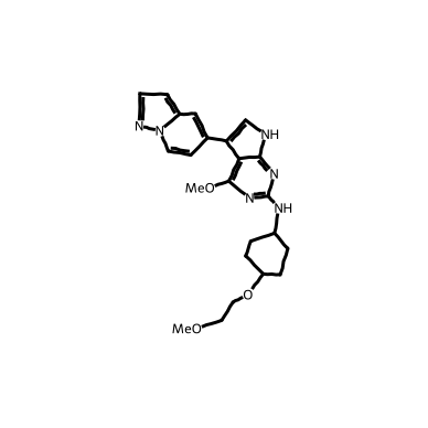 COCCOC1CCC(Nc2nc(OC)c3c(-c4ccn5nccc5c4)c[nH]c3n2)CC1